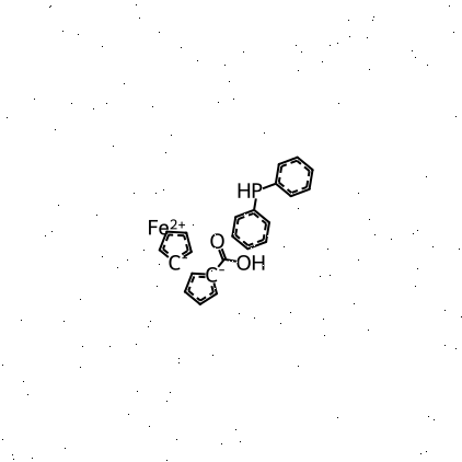 O=C(O)[c-]1cccc1.[Fe+2].c1cc[cH-]c1.c1ccc(Pc2ccccc2)cc1